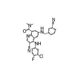 CN(C)C(=O)c1cc(NCc2cccc(C#N)c2)cc2c(Nc3ccc(F)c(Cl)c3)c(C#N)cnc12